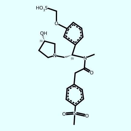 CN(C(=O)Cc1ccc(S(C)(=O)=O)cc1)[C@H](CN1CC[C@H](O)C1)c1cccc(OCS(=O)(=O)O)c1